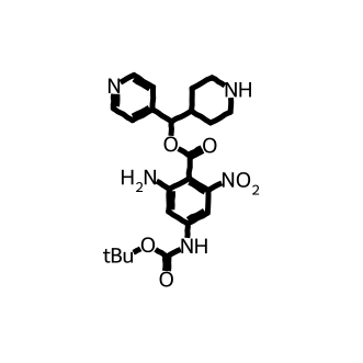 CC(C)(C)OC(=O)Nc1cc(N)c(C(=O)OC(c2ccncc2)C2CCNCC2)c([N+](=O)[O-])c1